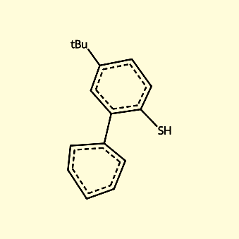 CC(C)(C)c1ccc(S)c(-c2ccccc2)c1